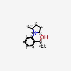 CCC(O)c1ccccc1N1CCCC1C